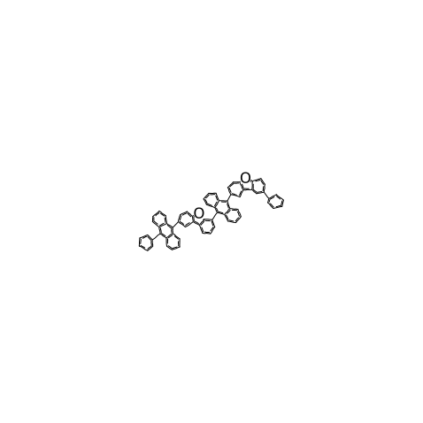 c1ccc(-c2ccc3oc4ccc(-c5c6ccccc6c(-c6cccc7c6oc6ccc(-c8c9ccccc9c(-c9ccccc9)c9ccccc89)cc67)c6ccccc56)cc4c3c2)cc1